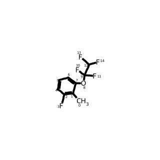 Cc1c(F)cccc1OC(F)(F)C(F)F